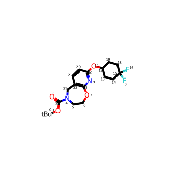 CC(C)(C)OC(=O)N1CCOc2nc(OC3CCC(F)(F)CC3)ccc2C1